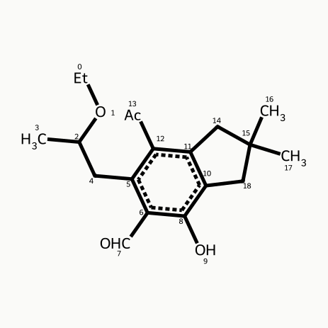 CCOC(C)Cc1c(C=O)c(O)c2c(c1C(C)=O)CC(C)(C)C2